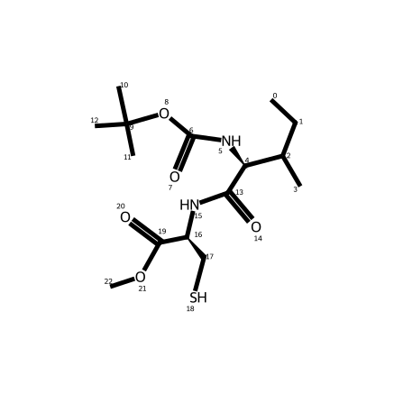 CCC(C)[C@H](NC(=O)OC(C)(C)C)C(=O)N[C@@H](CS)C(=O)OC